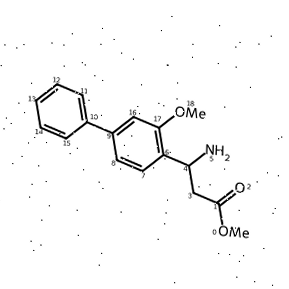 COC(=O)CC(N)c1ccc(-c2ccccc2)cc1OC